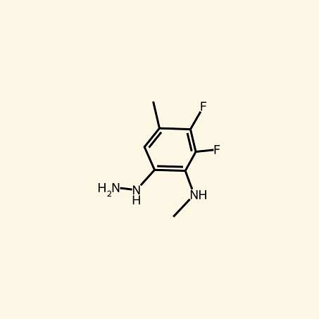 CNc1c(NN)cc(C)c(F)c1F